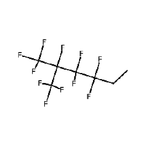 CCC(F)(F)C(F)(F)C(F)(C(F)(F)F)C(F)(F)F